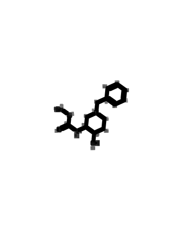 CC(C)(C)OC(=O)NC1CN(Cc2ccccc2)CCC1O